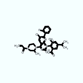 C=CC(=O)N1CCN(c2nc(=O)n(-c3c(C)cc(C(C)C)cc3C(=O)O)c3nc(-c4ccccc4F)c(Cl)cc23)C(C)C1